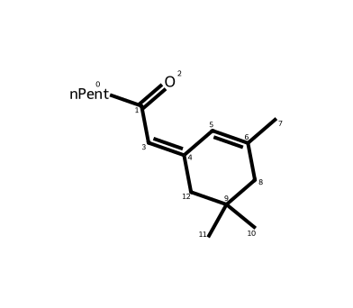 CCCCCC(=O)C=C1C=C(C)CC(C)(C)C1